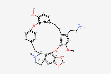 CNCCc1cc(OC)c2cc1CCc1ccc(OC)c(c1)Oc1ccc(cc1)C[C@H]1c3c(cc4c(c3O2)OCO4)CCN1C